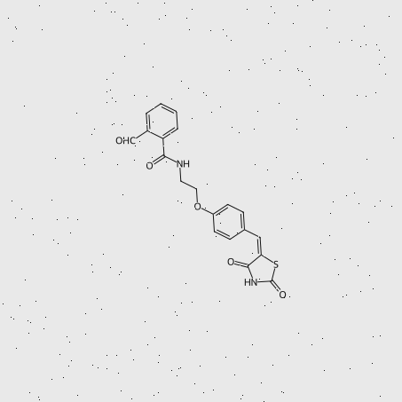 O=Cc1ccccc1C(=O)NCCOc1ccc(C=C2SC(=O)NC2=O)cc1